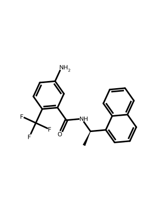 C[C@@H](NC(=O)c1cc(N)ccc1C(F)(F)F)c1cccc2ccccc12